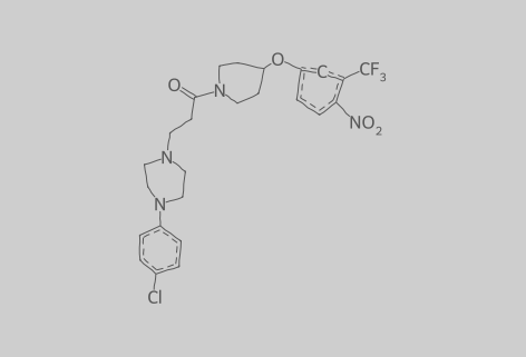 O=C(CCN1CCN(c2ccc(Cl)cc2)CC1)N1CCC(Oc2ccc([N+](=O)[O-])c(C(F)(F)F)c2)CC1